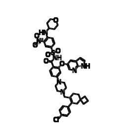 O=C(NS(=O)(=O)c1ccc(NC2CCOCC2)c([N+](=O)[O-])c1)c1ccc(N2CCN(CC3=C(c4ccc(Cl)cc4)CC4(CCC4)CC3)CC2)cc1Oc1cnc2[nH]ccc2c1